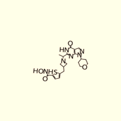 CC(c1nc2c(cnn2C2CCOCC2)c(=O)[nH]1)N1CC(Cc2ccc(C(=O)NO)s2)C1